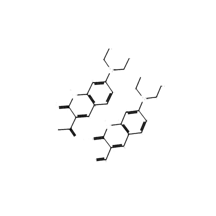 CCN(CC)c1ccc2cc(C(C)=O)c(=O)oc2c1.CCN(CC)c1ccc2cc(C=O)c(=O)oc2c1